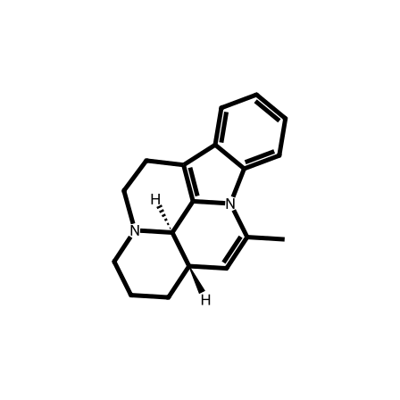 CC1=C[C@@H]2CCCN3CCc4c(n1c1ccccc41)[C@@H]23